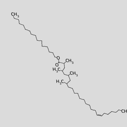 CCCCCC/C=C\CCCCCCCCCCC(C)CC(C)CC(C)CC(C)C(=O)OCCCCCCCCCCCCCCCC